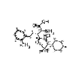 Cc1ccccc1CC[C@@H](C(=O)N(O)C(C1CCCCC1)C(F)(F)F)C(N)C(=O)O